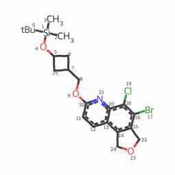 CC(C)(C)[Si](C)(C)OC1CC(COc2ccc3c4c(c(Br)c(Cl)c3n2)COC4)C1